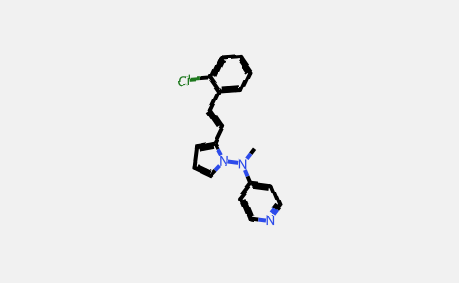 CN(c1ccncc1)n1cccc1C=Cc1ccccc1Cl